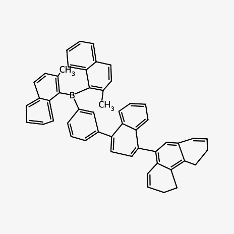 Cc1ccc2ccccc2c1B(c1cccc(-c2ccc(-c3cc4c(c5c3C=CCC5)CCC=C4)c3ccccc23)c1)c1c(C)ccc2ccccc12